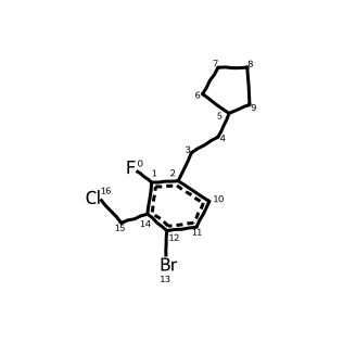 Fc1c(CCC2CCCC2)ccc(Br)c1CCl